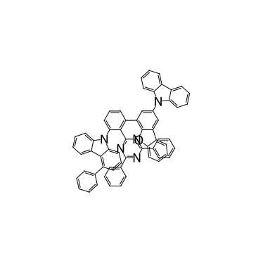 c1ccc(-c2nc(-c3ccccc3)nc(-c3c(-c4cc(-n5c6ccccc6c6ccccc65)cc5c4oc4ccccc45)cccc3-n3c4ccccc4c4c(-c5ccccc5)cccc43)n2)cc1